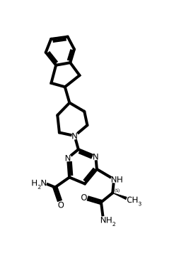 C[C@H](Nc1cc(C(N)=O)nc(N2CCC(C3Cc4ccccc4C3)CC2)n1)C(N)=O